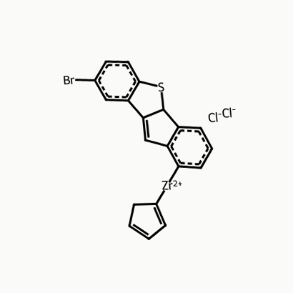 Brc1ccc2c(c1)C1=Cc3[c]([Zr+2][C]4=CC=CC4)cccc3C1S2.[Cl-].[Cl-]